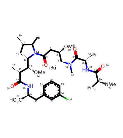 CC[C@H](C)[C@@H]([C@@H](CC(=O)N1C(C)[C@@H](C)C[C@H]1[C@H](OC)[C@@H](C)C(=O)N[C@@H](Cc1cccc(F)c1)C(=O)O)OC)N(C)C(=O)[C@@H](NC(=O)[C@@H](NC)C(C)C)C(C)C